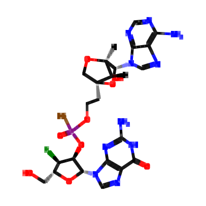 Nc1nc2c(ncn2[C@@H]2O[C@H](CO)[C@@H](F)[C@H]2OP(=O)(S)OCC[C@@]23CO[C@@H]([C@H](n4cnc5c(N)ncnc54)O2)[C@@H]3O)c(=O)[nH]1